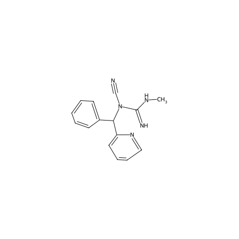 CNC(=N)N(C#N)C(c1ccccc1)c1ccccn1